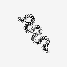 C[SiH](O[SiH](C)O[Si](C)(C)O[Si](C)(C)O[Si](C)(C)O[Si](C)(C)O[Si](C)(C)O[Si](C)(C)O[Si](C)(C)O[Si](C)(C)O[Si](C)(C)O[Si](C)(C)O[Si](C)(C)O[Si](C)(C)O[Si](C)(C)O[Si](C)(C)O[Si](C)(C)O[Si](C)(C)O[Si](C)(C)O[Si](C)(C)O[Si](C)(C)O[Si](C)(C)O[Si](C)(C)O[Si](C)(C)C)O[Si](C)(C)C